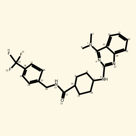 CN(C)c1nc(NC2CCC(C(=O)NCc3ccc(C(F)(F)F)cc3)CC2)nc2ccccc12